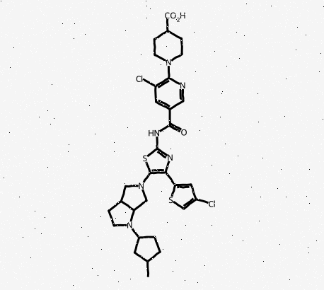 CC1CCC(N2CCC3CN(c4sc(NC(=O)c5cnc(N6CCC(C(=O)O)CC6)c(Cl)c5)nc4-c4cc(Cl)cs4)CC32)C1